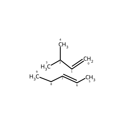 C=CC(C)C.CC=CCC